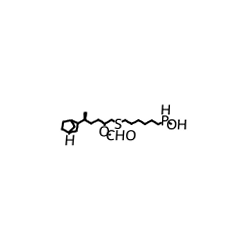 C=C(CCC(CSCCCCCCPO)OC=O)C1C[C@@H]2CCC1C2